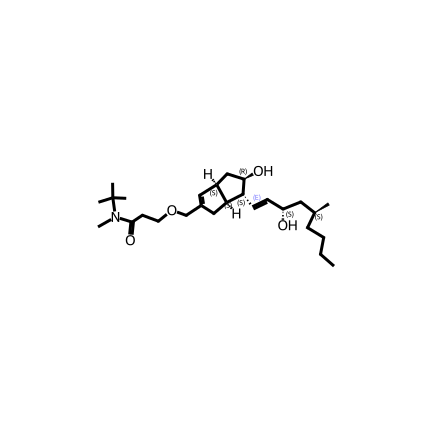 CCCC[C@H](C)C[C@H](O)/C=C/[C@@H]1[C@H]2CC(COCCC(=O)N(C)C(C)(C)C)=C[C@H]2C[C@H]1O